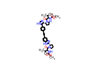 COC(=O)NC(C(=O)N1CCC[C@H]1c1nc2cc(C#Cc3ccc(-c4[nH]cnc4[C@@H]4CCCN4C(=O)C(NC(=O)OC)C(C)C)cc3)ccc2[nH]1)C(C)C